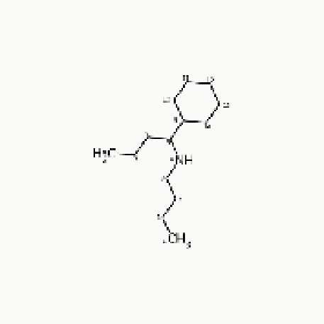 CCC[CH]NC(CCC)C1CCCCC1